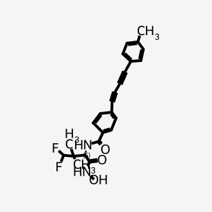 Cc1ccc(C#CC#Cc2ccc(C(=O)N[C@H](C(=O)NO)C(C)(C)C(F)F)cc2)cc1